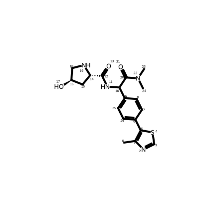 Cc1ncsc1-c1ccc(C(NC(=O)[C@@H]2C[C@@H](O)CN2)C(=O)N(C)C)cc1